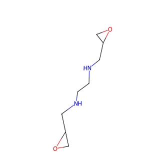 C(CNCC1CO1)NCC1CO1